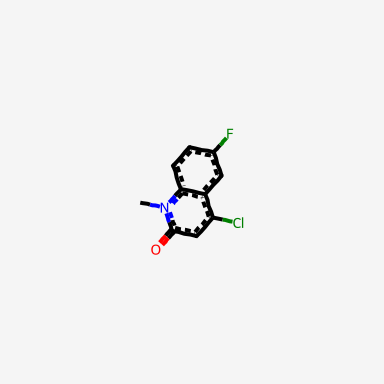 Cn1c(=O)cc(Cl)c2cc(F)ccc21